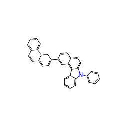 C1=Cc2ccccc2C2CC(c3ccc4ccc5c(c4c3)c3ccccc3n5-c3ccccc3)=CC=C12